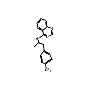 CC(Cc1ccc(C(F)(F)F)cc1)Nc1ncnc2ccccc12